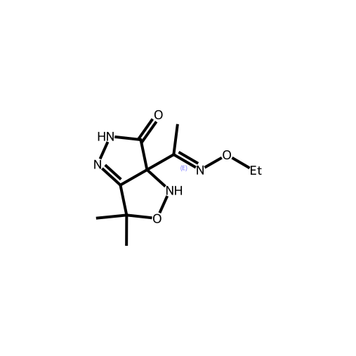 CCO/N=C(\C)C12NOC(C)(C)C1=NNC2=O